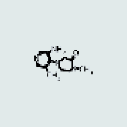 Cc1cncc(N)c1N1CCN(C)C(=O)C1